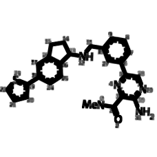 CNC(=O)c1nc(-c2cccc(CNC3CCc4cc(-c5cccs5)ccc43)c2)cnc1N